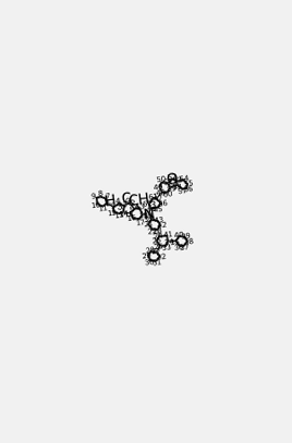 CC1(C)c2cc(-c3ccccc3)ccc2-c2ccc(N(c3ccc(-c4cc(-c5ccccc5)cc(-c5ccccc5)c4)cc3)c3ccc(-c4ccc5oc6ccccc6c5c4)cc3)cc21